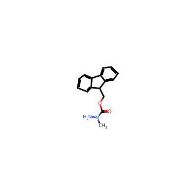 CN(N)C(=O)OCC1c2ccccc2-c2ccccc21